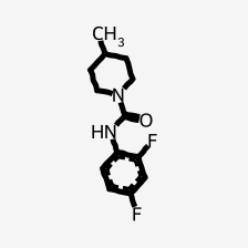 CC1CCN(C(=O)Nc2ccc(F)cc2F)CC1